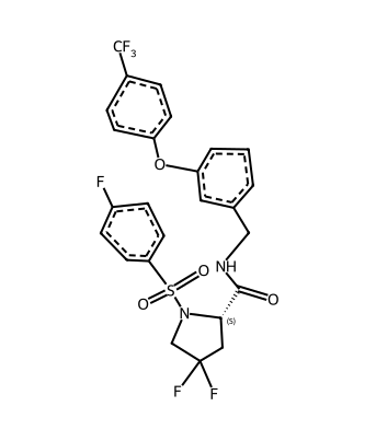 O=C(NCc1cccc(Oc2ccc(C(F)(F)F)cc2)c1)[C@@H]1CC(F)(F)CN1S(=O)(=O)c1ccc(F)cc1